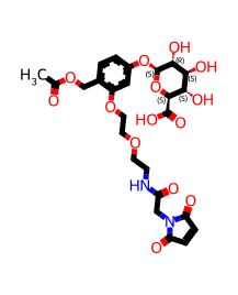 CC(=O)OCc1ccc(O[C@@H]2O[C@H](C(=O)O)[C@@H](O)[C@H](O)[C@H]2O)cc1OCCOCCNC(=O)CN1C(=O)C=CC1=O